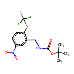 CC(C)(C)OC(=O)NCc1cc([N+](=O)[O-])ccc1SC(F)(F)F